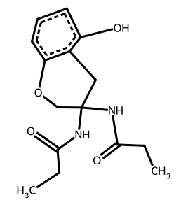 CCC(=O)NC1(NC(=O)CC)COc2cccc(O)c2C1